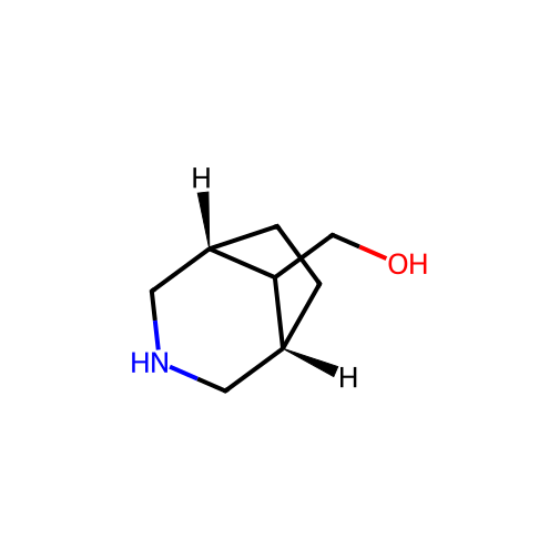 OCC1[C@@H]2CC[C@H]1CNC2